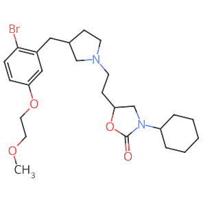 COCCOc1ccc(Br)c(CC2CCN(CCC3CN(C4CCCCC4)C(=O)O3)C2)c1